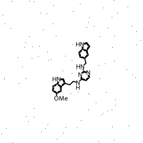 COc1ccc2[nH]cc(CCNc3ccnc(NCc4ccc5[nH]ccc5c4)n3)c2c1